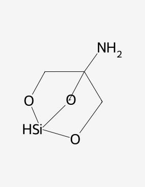 NC12CO[SiH](OC1)OC2